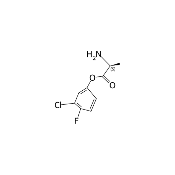 C[C@H](N)C(=O)Oc1ccc(F)c(Cl)c1